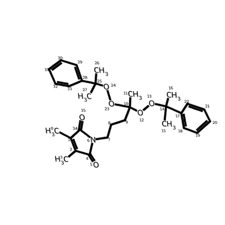 CC1=C(C)C(=O)N(CCCC(C)(OOC(C)(C)c2ccccc2)OOC(C)(C)c2ccccc2)C1=O